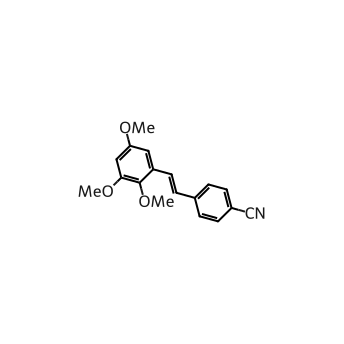 COc1cc(C=Cc2ccc(C#N)cc2)c(OC)c(OC)c1